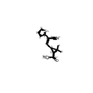 CC1(C)C(C=C(C#N)c2cccs2)C1C(=O)O